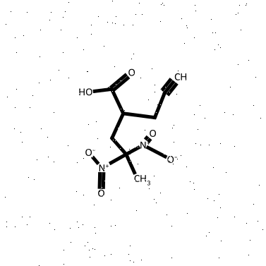 C#CCC(CC(C)([N+](=O)[O-])[N+](=O)[O-])C(=O)O